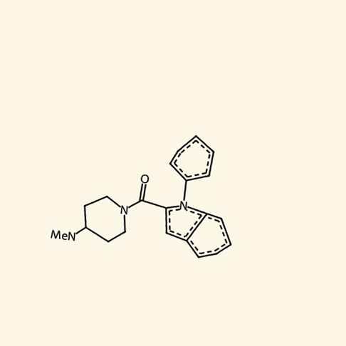 CNC1CCN(C(=O)c2cc3ccccc3n2-c2ccccc2)CC1